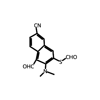 CN(C)c1c(SC=O)cc2cc(C#N)ccc2c1C=O